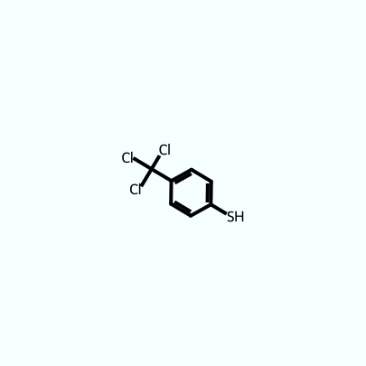 Sc1ccc(C(Cl)(Cl)Cl)cc1